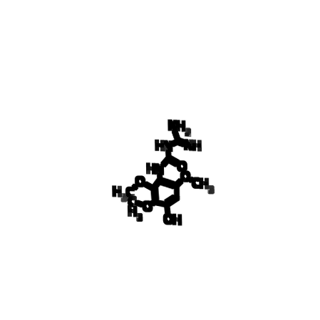 COc1cc(O)c(OC)c(OC)c1NC(=O)NC(=N)N